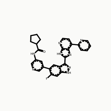 O=C(Nc1cncc(-c2cc3c(-c4nc5c(-c6ccccn6)ccnc5[nH]4)n[nH]c3cc2F)c1)C1CCCC1